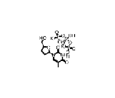 Cc1cn([C@H]2CC[C@@H](CO)O2)c(=O)[nH]c1=O.O=P(O)(O)OP(=O)(O)OP(=O)(O)O